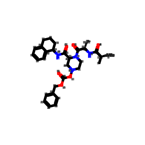 CN[C@@H](C)C(=O)N[C@H](C(=O)N1CCN(OC(=O)OCc2ccccc2)C[C@H]1C(=O)NC1CCCc2ccccc21)C(C)C